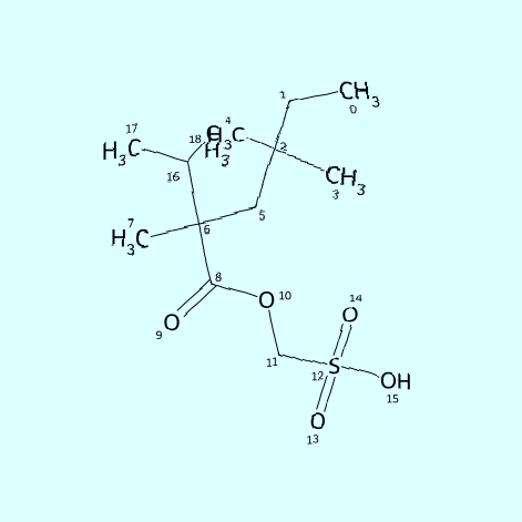 CCC(C)(C)CC(C)(C(=O)OCS(=O)(=O)O)C(C)C